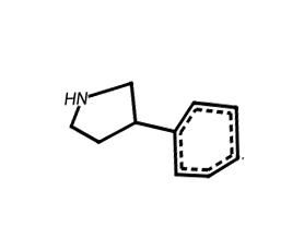 [c]1ccc(C2CCNC2)cc1